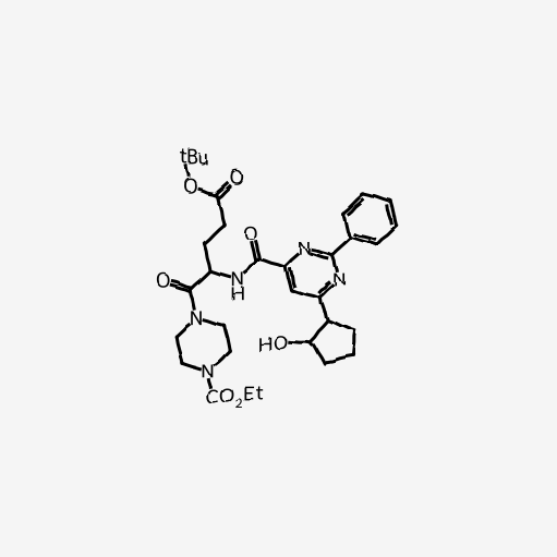 CCOC(=O)N1CCN(C(=O)C(CCC(=O)OC(C)(C)C)NC(=O)c2cc(C3CCCC3O)nc(-c3ccccc3)n2)CC1